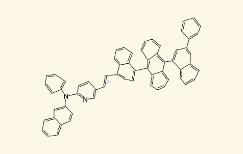 C(=C\c1ccc(-c2c3ccccc3c(-c3cc(-c4ccccc4)cc4ccccc34)c3ccccc23)c2ccccc12)/c1ccc(N(c2ccccc2)c2ccc3ccccc3c2)nc1